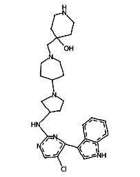 OC1(CN2CCC(N3CCC(Nc4ncc(Cl)c(-c5c[nH]c6ccccc56)n4)C3)CC2)CCNCC1